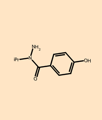 CC(C)N(N)C(=O)c1ccc(O)cc1